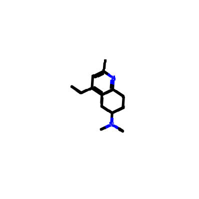 CCc1cc(C)nc2c1CC(N(C)C)CC2